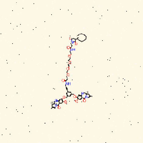 COc1cc2c(cc1OCc1cc(C#CCNC(=O)CCOCCOCCOCCOCCNC(=O)CCN3C(=O)CC(C4CCCCCCCCC4)C3=O)cc(COc3cc4c(cc3OC)C(=O)N3C=C(C)C[C@H]3C=N4)c1)N=C[C@@H]1CC(C)=CN1C2=O